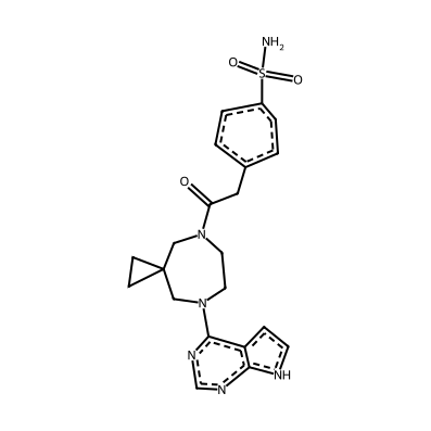 NS(=O)(=O)c1ccc(CC(=O)N2CCN(c3ncnc4[nH]ccc34)CC3(CC3)C2)cc1